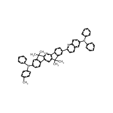 Cc1ccc(N(c2ccccc2)c2ccc3c(c2)C(C)(C)c2nc4c(cc2-3)C(C)(C)c2cc(-c3ccc5cc(N(c6ccccc6)c6ccccc6)ccc5n3)ccc2-4)cc1